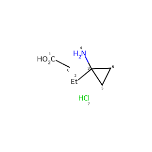 CC(=O)O.CCC1(N)CC1.Cl